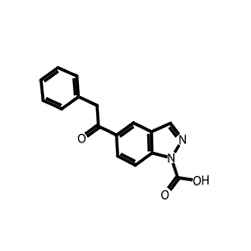 O=C(Cc1ccccc1)c1ccc2c(cnn2C(=O)O)c1